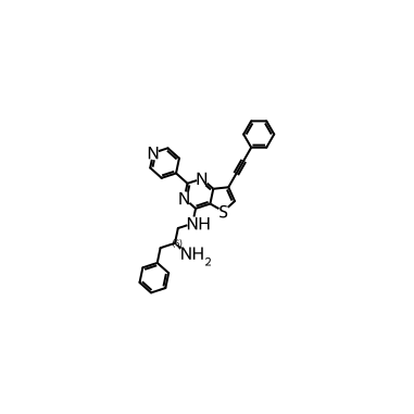 N[C@H](CNc1nc(-c2ccncc2)nc2c(C#Cc3ccccc3)csc12)Cc1ccccc1